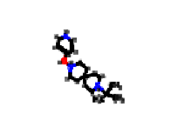 CC(C)(C)N1CCC2(CCN(Oc3ccncc3)CC2)CC1